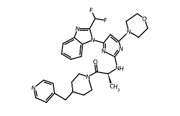 C[C@H](Nc1nc(N2CCOCC2)cc(-n2c(C(F)F)nc3ccccc32)n1)C(=O)N1CCC(Cc2ccncc2)CC1